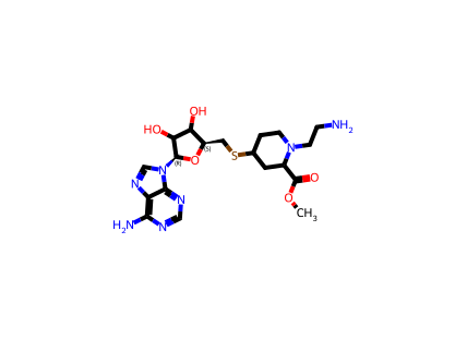 COC(=O)C1CC(SC[C@H]2O[C@@H](n3cnc4c(N)ncnc43)C(O)C2O)CCN1CCN